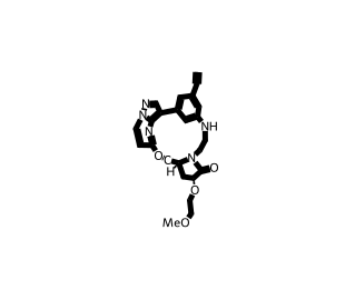 C#Cc1cc2cc(c1)-c1cnn3ccc(nc13)OC[C@@H]1C[C@@H](OCCOC)C(=O)N1CCN2